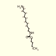 CCCCOC(=O)NCCCCCCCCCCN